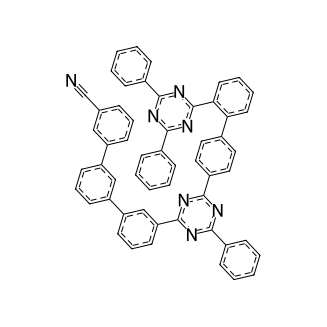 N#Cc1cccc(-c2cccc(-c3cccc(-c4nc(-c5ccccc5)nc(-c5ccc(-c6ccccc6-c6nc(-c7ccccc7)nc(-c7ccccc7)n6)cc5)n4)c3)c2)c1